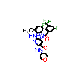 Cc1ccccc1Nc1ncc(C(=O)NC2CCOCC2)cc1NC(=O)c1cc(F)cc(C(F)(F)F)c1